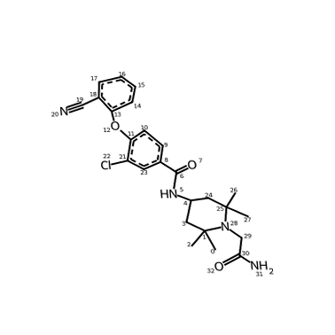 CC1(C)CC(NC(=O)c2ccc(Oc3ccccc3C#N)c(Cl)c2)CC(C)(C)N1CC(N)=O